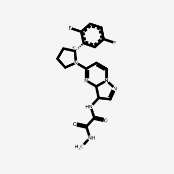 CNC(=O)C(=O)NC1C=NN2C=CC(N3CCC[C@@H]3c3cc(F)ccc3F)=NC12